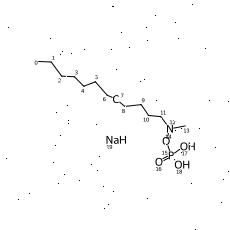 CCCCCCCCCCCCN(C)OP(=O)(O)O.[NaH]